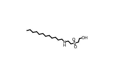 CCCCCCCCCCCCNCCS(=O)(=O)CCO